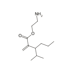 C=C(C(=O)OCCN)C(CCC)C(C)C